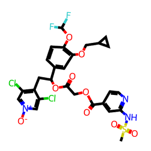 CS(=O)(=O)Nc1cc(C(=O)OCC(=O)OC(Cc2c(Cl)c[n+]([O-])cc2Cl)c2ccc(OC(F)F)c(OCC3CC3)c2)ccn1